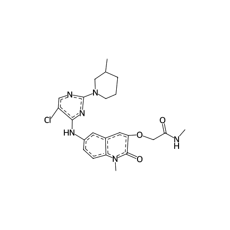 CNC(=O)COc1cc2cc(Nc3nc(N4CCCC(C)C4)ncc3Cl)ccc2n(C)c1=O